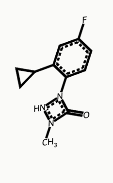 Cn1[nH]n(-c2ccc(F)cc2C2CC2)c1=O